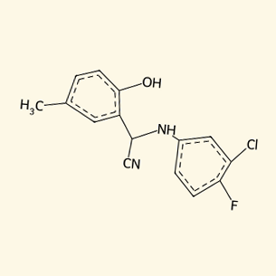 Cc1ccc(O)c(C(C#N)Nc2ccc(F)c(Cl)c2)c1